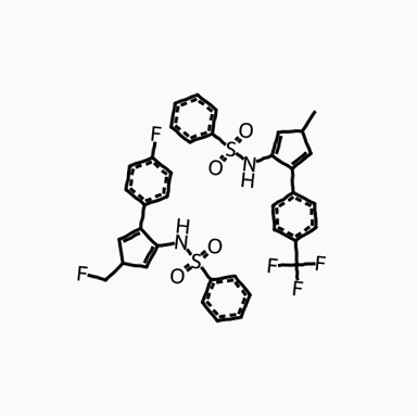 CC1C=C(NS(=O)(=O)c2ccccc2)C(c2ccc(C(F)(F)F)cc2)=C1.O=S(=O)(NC1=CC(CF)C=C1c1ccc(F)cc1)c1ccccc1